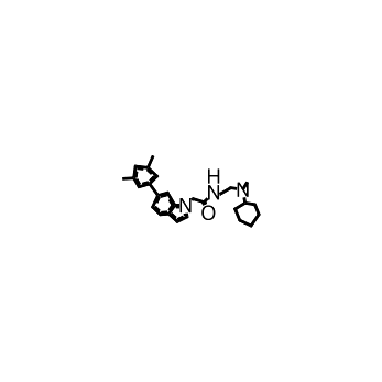 Cc1cc(C)cc(-c2ccc3ccn(CC(=O)NCCN(C)C4CCCCC4)c3c2)c1